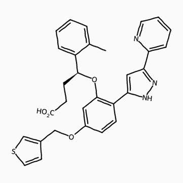 Cc1ccccc1[C@H](CCC(=O)O)Oc1cc(OCc2ccsc2)ccc1-c1cc(-c2ccccn2)n[nH]1